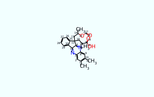 Cc1cc2nc3c(nc2cc1C)C(CC(C)OC=O)(CC(C)C(=O)O)c1ccccc1-3